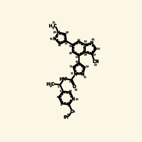 CC(C)Oc1ccc(C(C)NC(=O)n2cc(-c3cc(-c4cnn(C)c4)cn4ncc(C#N)c34)cn2)cn1